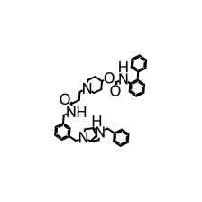 O=C(CCN1CCC(OC(=O)Nc2ccccc2-c2ccccc2)CC1)NCc1cccc(CN2C[C@H]3CC2CN3Cc2ccccc2)c1